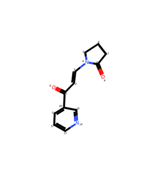 O=C(C=CN1CCCC1=O)c1cccnc1